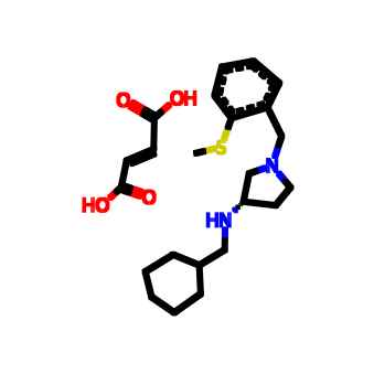 CSc1ccccc1CN1CC[C@H](NCC2CCCCC2)C1.O=C(O)/C=C/C(=O)O